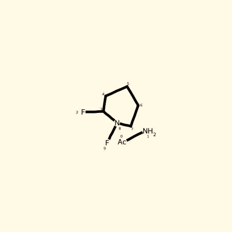 CC(N)=O.FC1CCCCN1F